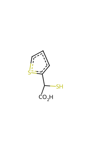 O=C(O)C(S)c1cccs1